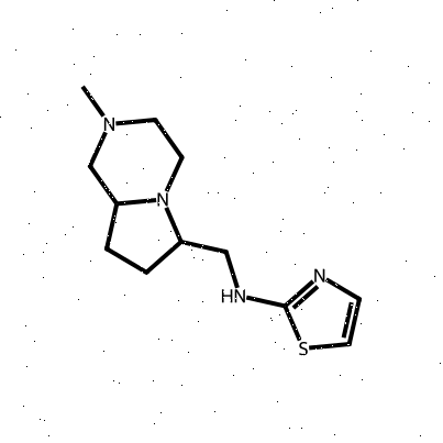 CN1CCN2C(CNc3nccs3)CCC2C1